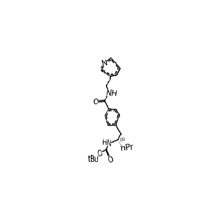 CCC[C@@H](Cc1ccc(C(=O)NCc2cccnc2)cc1)NC(=O)OC(C)(C)C